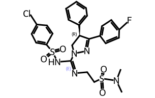 CN(C)S(=O)(=O)CC/N=C(/NS(=O)(=O)c1ccc(Cl)cc1)N1C[C@@H](c2ccccc2)C(c2ccc(F)cc2)=N1